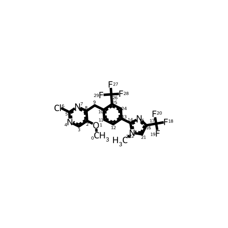 COc1cnc(Cl)nc1Cc1ccc(-c2nc(C(F)(F)F)cn2C)cc1C(F)(F)F